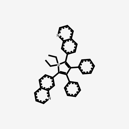 CC[Si]1(CC)C(c2ccc3cccnc3c2)=C(c2ccccc2)C(c2ccccc2)=C1c1ccc2cccnc2c1